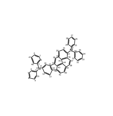 c1ccc(N(c2ccccc2)c2ccc3c(c2)-c2cc4ccc(N(c5ccccc5)c5ccccc5)c5ccc6ccc-3c2c6c45)cc1